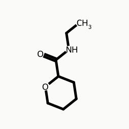 CCNC(=O)C1CCCCO1